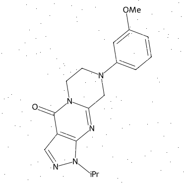 COc1cccc(N2CCn3c(nc4c(cnn4C(C)C)c3=O)C2)c1